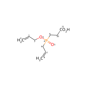 C=CCOP(=O)(CC=C)CCC(=O)O